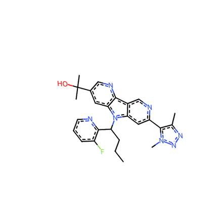 CCCC(c1ncccc1F)n1c2cc(-c3c(C)nnn3C)ncc2c2ncc(C(C)(C)O)cc21